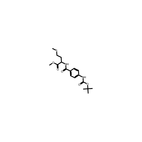 COC(=O)C(CCSC)NC(=O)c1ccc(NC(=O)OC(C)(C)C)cc1